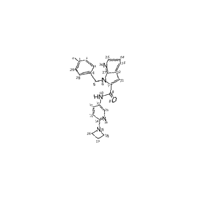 Cc1ccc(Cn2c(C(=O)Nc3ccc(N4CCC4)nc3)cc3cccnc32)cc1